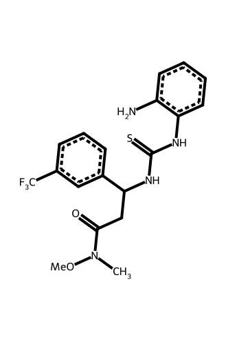 CON(C)C(=O)CC(NC(=S)Nc1ccccc1N)c1cccc(C(F)(F)F)c1